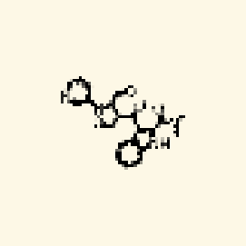 CN(C)C(=O)c1[nH]c2ccccc2c1C(=O)C1CON(c2cccnc2)C1C=O